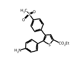 CCOC(=O)c1cc(-c2ccc(S(C)(=O)=O)cc2)c(-c2ccc(N)cc2)s1